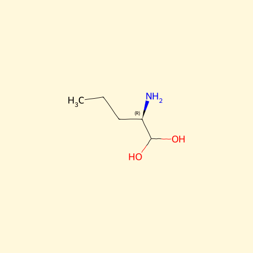 CCC[C@@H](N)C(O)O